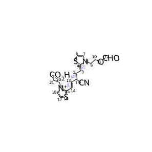 N#CC(=C\C=C1/SC=CN1CCOC=O)/C=C/c1scc[n+]1CCC(=O)O